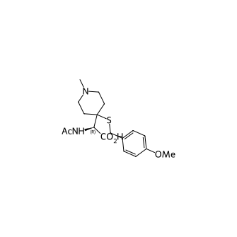 COc1ccc(CSC2([C@H](NC(C)=O)C(=O)O)CCN(C)CC2)cc1